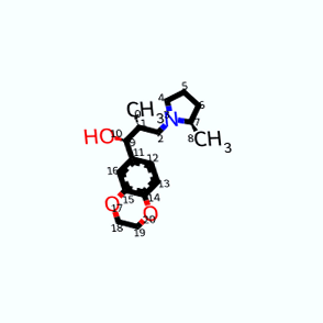 C[C@H](CN1CCC[C@H]1C)[C@H](O)c1ccc2c(c1)OCCO2